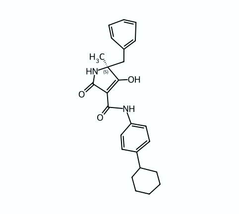 C[C@@]1(Cc2ccccc2)NC(=O)C(C(=O)Nc2ccc(C3CCCCC3)cc2)=C1O